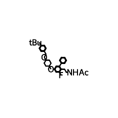 CC(=O)NCCc1c(F)cc(OC2CCC(OCc3ccc(C(C)(C)C)cc3)CC2)cc1-c1ccccc1